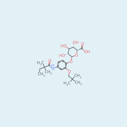 CCC(C)(C)C(=O)Nc1ccc(O[C@@H]2O[C@H](C(=O)O)[C@@H](O)[C@H](O)[C@H]2O)c(OCC(C)(C)C)c1